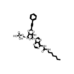 CCCCCCNC(=O)Nc1ncnc2c1ncn2[C@@H]1O[C@H](COP(=O)(O)O)C2OC(C#Cc3ccccc3)O[C@@H]21